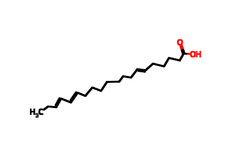 CCC=CC=CCCCCCCCC=CCCCCC(=O)O